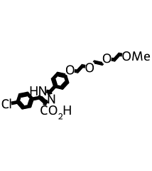 COCCOCCOCCOc1ccc(-c2nc(C(=O)O)c(-c3ccc(Cl)cc3)[nH]2)cc1